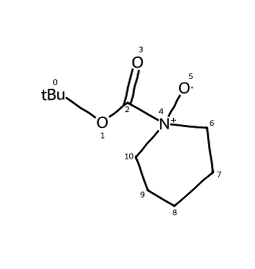 CC(C)(C)OC(=O)[N+]1([O])CCCCC1